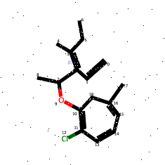 C=C/C(=C(/C)CC)C(C)OC1=C(Cl)C=CC=C(C)C1